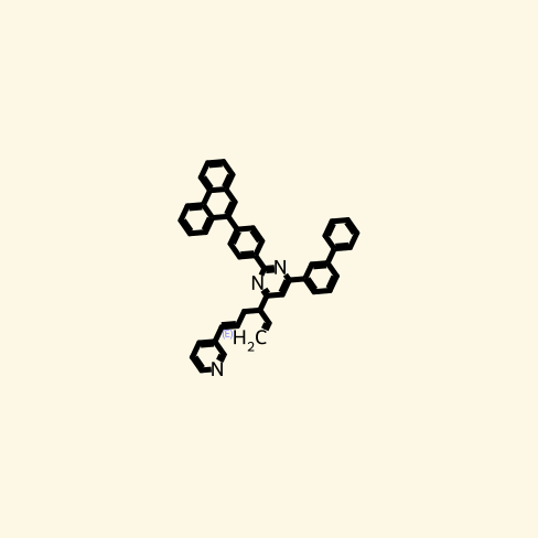 C=CC(C/C=C/c1cccnc1)c1cc(-c2cccc(-c3ccccc3)c2)nc(-c2ccc(-c3cc4ccccc4c4ccccc34)cc2)n1